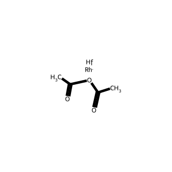 CC(=O)OC(C)=O.[Hf].[Rh]